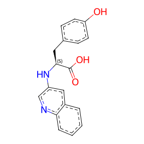 O=C(O)[C@H](Cc1ccc(O)cc1)Nc1cnc2ccccc2c1